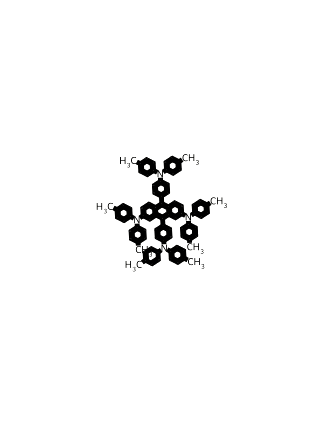 CC1=CCC(N(c2ccc(C)cc2)c2ccc(-c3c4cc(N(c5ccc(C)cc5)c5ccc(C)cc5)ccc4c(-c4ccc(N(c5ccc(C)cc5)c5ccc(C)cc5)cc4)c4ccc(N(c5ccc(C)cc5)c5ccc(C)cc5)cc34)cc2)C=C1